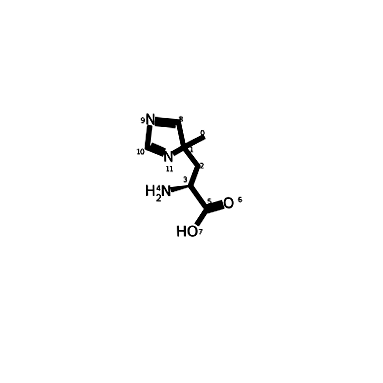 CC1(C[C@H](N)C(=O)O)C=NC=N1